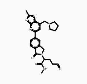 CNC(=O)C(CCC=O)N1Cc2cc(-c3cc(CN4CCCC4)c4oc(C)nc4n3)ccc2C1=O